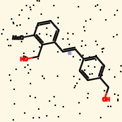 COc1cccc(/C=C/c2ccc(CO)cc2)c1CO